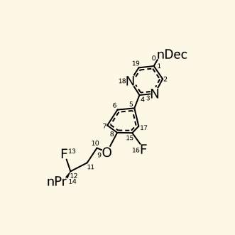 CCCCCCCCCCc1cnc(-c2ccc(OCC[C@H](F)CCC)c(F)c2)nc1